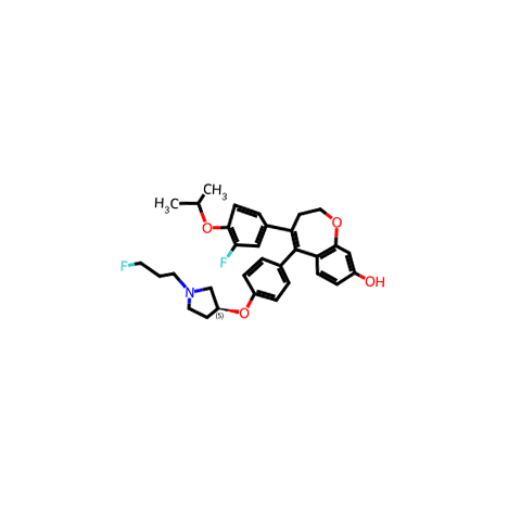 CC(C)Oc1ccc(C2=C(c3ccc(O[C@H]4CCN(CCCF)C4)cc3)c3ccc(O)cc3OCC2)cc1F